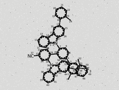 Cc1cc(-c2ccc(-n3c4ccccc4c4cc(-c5ccccc5C)ccc43)c(-c3ccc(C#N)cc3-n3c4ccccc4c4cc(-c5ccccc5C)ccc43)c2)cc(C(F)(F)F)c1